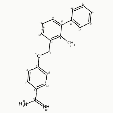 Cc1c(COc2ccc(C(=N)N)cc2)cccc1-c1ccccc1